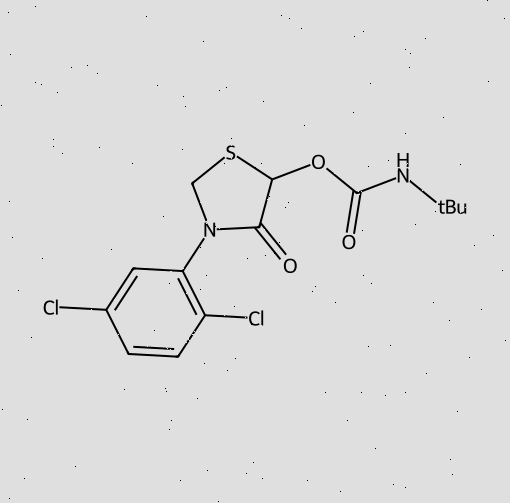 CC(C)(C)NC(=O)OC1SCN(c2cc(Cl)ccc2Cl)C1=O